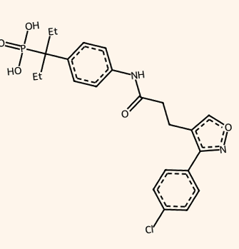 CCC(CC)(c1ccc(NC(=O)CCc2conc2-c2ccc(Cl)cc2)cc1)P(=O)(O)O